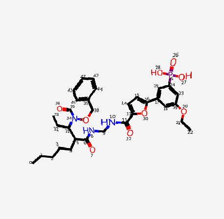 CCCCCC(C(=O)NCNC(=O)c1ccc(-c2cc(OCC)cc(P(=O)(O)O)c2)o1)C(CC)N(C=O)OCc1ccccc1